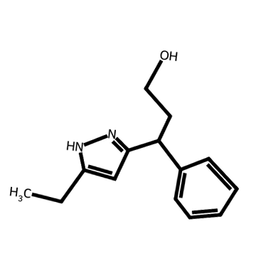 CCc1cc(C(CCO)c2ccccc2)n[nH]1